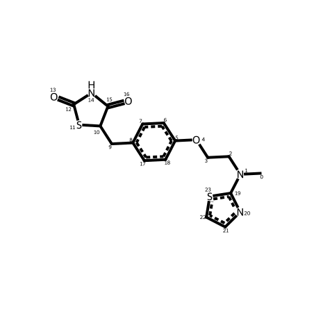 CN(CCOc1ccc(CC2SC(=O)NC2=O)cc1)c1nccs1